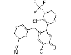 N#Cc1cccc(Cn2cc(Cl)c(=O)cc2-c2cccc(C(F)(F)F)c2Cl)c1